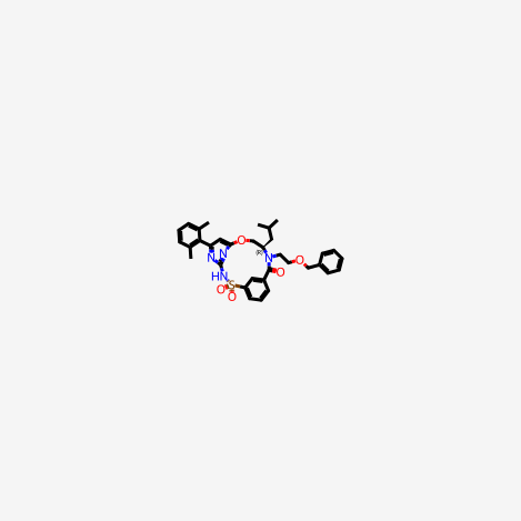 Cc1cccc(C)c1-c1cc2nc(n1)NS(=O)(=O)c1cccc(c1)C(=O)N(CCOCc1ccccc1)[C@H](CC(C)C)CO2